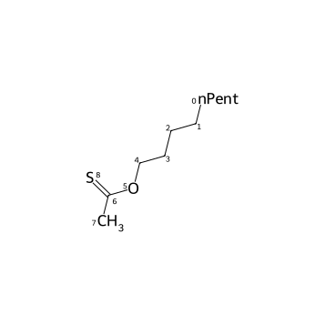 CCCCCCCCCOC(C)=S